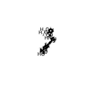 Cc1ccccc1C(C)OC(=O)Nc1cnsc1C#Cc1cc2sc(C3(C(=O)O)CC3)cc2s1